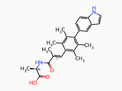 C/C(=C\c1c(C)c(C)c(-c2ccc3[nH]ccc3c2)c(C)c1C)C(=O)N[C@H](C)C(=O)O